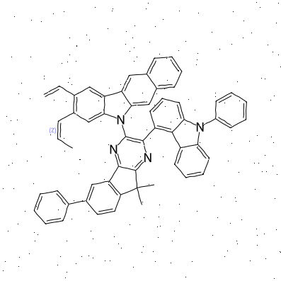 C=Cc1cc2c3cc4ccccc4cc3n(-c3nc4c(nc3-c3cccc5c3c3ccccc3n5-c3ccccc3)C(C)(C)c3ccc(-c5ccccc5)cc3-4)c2cc1/C=C\C